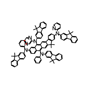 CC1(C)c2ccccc2-c2ccc(N(c3ccc4c(c3)C(C)(C)c3cc5c(N(c6ccccc6)c6ccc7c(c6)C(C)(C)c6ccccc6-7)c6ccc(N(c7ccc8c(c7)C(C)(C)c7ccccc7-8)c7ccccn7)cc6c(N(c6ccc7c(c6)C(C)(C)c6ccccc6-7)c6ccccn6)c5cc3-4)c3ccccn3)cc21